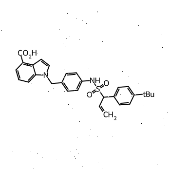 C=CC(c1ccc(C(C)(C)C)cc1)S(=O)(=O)Nc1ccc(Cn2ccc3c(C(=O)O)cccc32)cc1